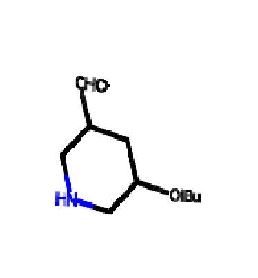 CC(C)COC1CNCC([C]=O)C1